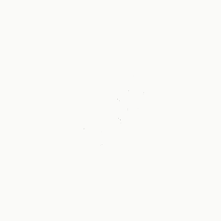 Cc1ccc(N=C2NC(C)C(C)S2)c(C)c1